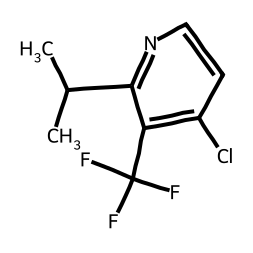 CC(C)c1nccc(Cl)c1C(F)(F)F